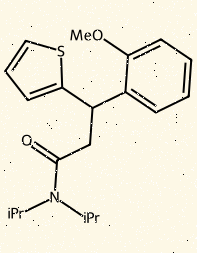 COc1ccccc1C(CC(=O)N(C(C)C)C(C)C)c1cccs1